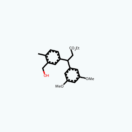 CCOC(=O)CC(c1cc(OC)cc(OC)c1)c1ccc(C)c(CO)c1